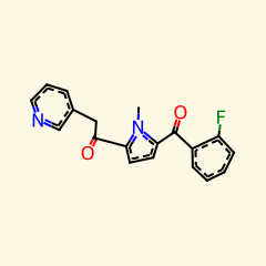 Cn1c(C(=O)Cc2cccnc2)ccc1C(=O)c1ccccc1F